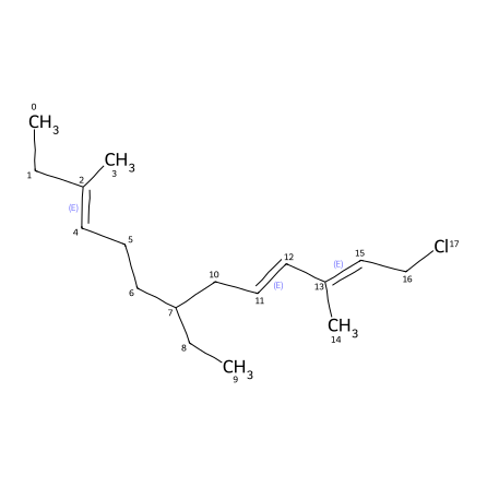 CC/C(C)=C/CCC(CC)C/C=C/C(C)=C/CCl